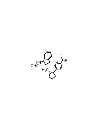 CN1CCCC1c1ccc(C(F)F)nc1.O=CNC1CCc2ccccc21